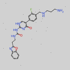 NCCCNCc1ccc(-c2c[nH]c(NC(=O)NCCc3nc4ccccc4o3)nc2=O)cc1F